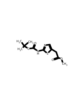 COC(=O)Cc1cnc(NC(=O)OC(C)(C)C)s1